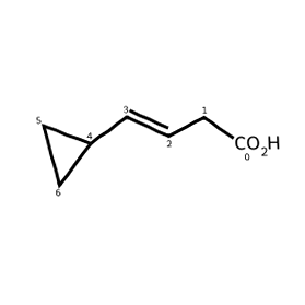 O=C(O)CC=CC1CC1